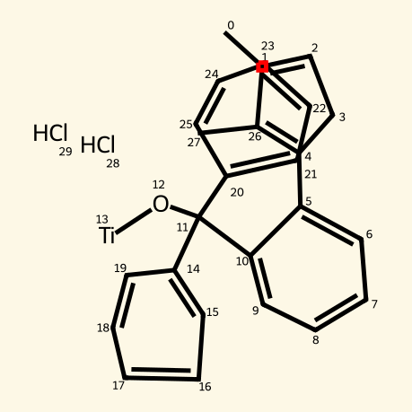 CC1=CCC(c2ccccc2C([O][Ti])(c2ccccc2)c2ccccc2)=C1C.Cl.Cl